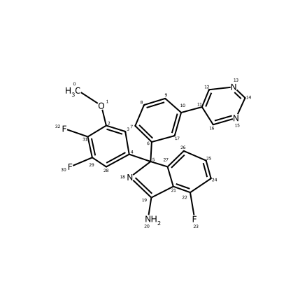 COc1cc(C2(c3cccc(-c4cncnc4)c3)N=C(N)c3c(F)cccc32)cc(F)c1F